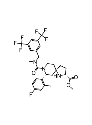 COC(=O)[C@H]1CC[C@@]2(CCN(C(=O)N(C)Cc3cc(C(F)(F)F)cc(C(F)(F)F)c3)[C@@H](c3ccc(F)cc3C)C2)N1